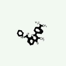 Cc1c(-c2ccc(C(C)C)cc2)oc2c(C(=O)NC3CCCCC3)cccc2c1=O